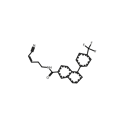 N#C/C=C\CCNC(=O)c1ccc2c(-c3ccc(C(F)(F)F)cc3)cccc2c1